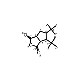 CC(C)(C)C1CC2C(=O)OC(=O)C2C1C(C)(C)C